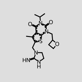 Cc1c(CN2CCNC2=N)sc2c1c(=O)n(C(C)C)c(=O)n2CC1CCO1